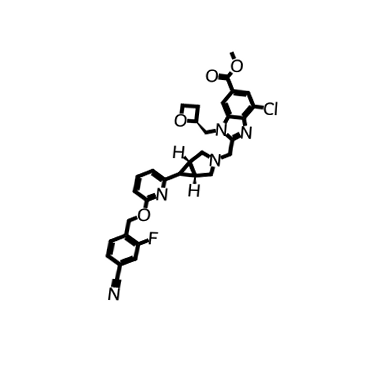 COC(=O)c1cc(Cl)c2nc(CN3C[C@@H]4C(c5cccc(OCc6ccc(C#N)cc6F)n5)[C@@H]4C3)n(C[C@@H]3CCO3)c2c1